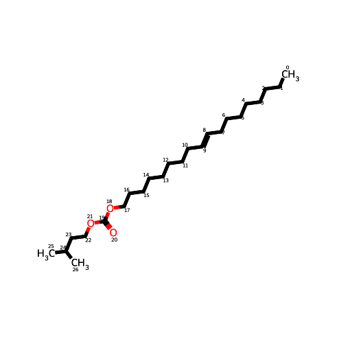 CCCCCCCCC=CCCCCCCCCOC(=O)OCCC(C)C